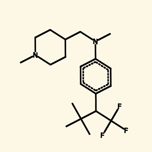 CN1CCC(CN(C)c2ccc(C(C(C)(C)C)C(F)(F)F)cc2)CC1